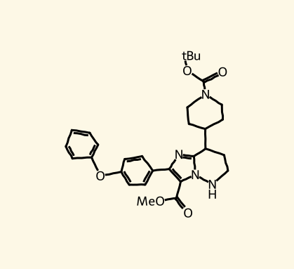 COC(=O)c1c(-c2ccc(Oc3ccccc3)cc2)nc2n1NCCC2C1CCN(C(=O)OC(C)(C)C)CC1